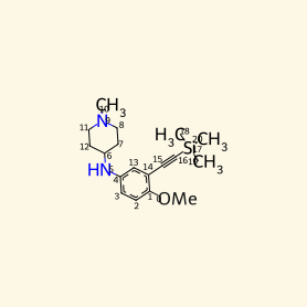 COc1ccc(NC2CCN(C)CC2)cc1C#C[Si](C)(C)C